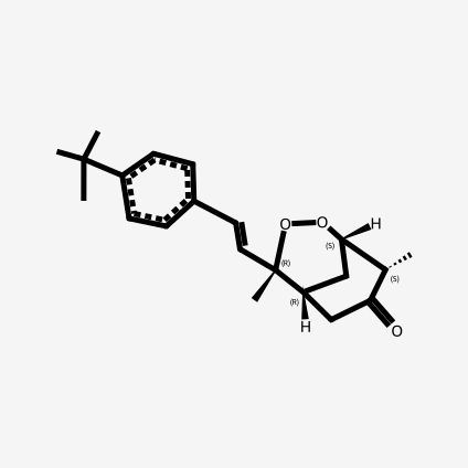 C[C@@H]1C(=O)C[C@H]2C[C@@H]1OO[C@@]2(C)C=Cc1ccc(C(C)(C)C)cc1